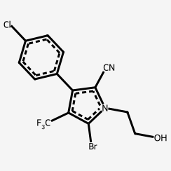 N#Cc1c(-c2ccc(Cl)cc2)c(C(F)(F)F)c(Br)n1CCO